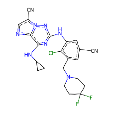 N#Cc1cc(CN2CCC(F)(F)CC2)c(Cl)c(Nc2nc(NC3CC3)c3ncc(C#N)n3n2)c1